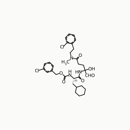 CN(CCc1ccccc1Cl)C(=O)CCC(O)(C=O)NC(=O)[C@H](CC1CCCCC1)NC(=O)OCc1cccc(Cl)c1